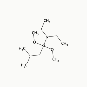 CCN(CC)[Si](CC(C)C)(OC)OC